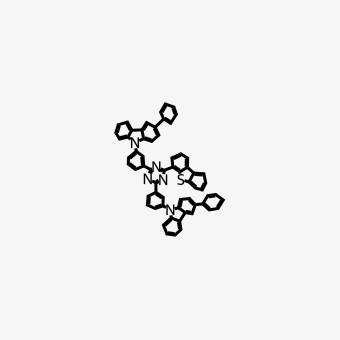 c1ccc(-c2ccc3c(c2)c2ccccc2n3-c2cccc(-c3nc(-c4cccc(-n5c6ccccc6c6cc(-c7ccccc7)ccc65)c4)nc(-c4cccc5c4sc4ccccc45)n3)c2)cc1